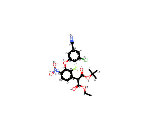 CCOC(=O)C(C(=O)OC(C)(C)C)c1ccc([N+](=O)[O-])c(Oc2cc(Cl)cc(C#N)c2)c1F